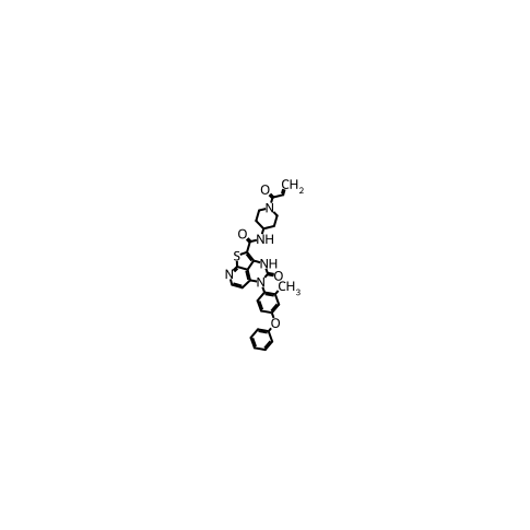 C=CC(=O)N1CCC(NC(=O)c2sc3nccc4c3c2NC(=O)N4c2ccc(Oc3ccccc3)cc2C)CC1